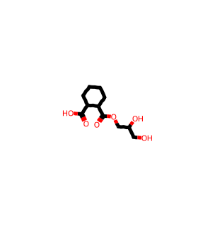 O=C(O)C1CCCCC1C(=O)OCC(O)CO